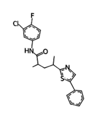 CC(CC(C)c1ncc(-c2ccccc2)s1)C(=O)Nc1ccc(F)c(Cl)c1